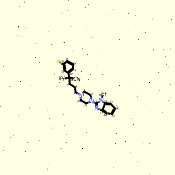 CCn1c(N2CCN(CCCC(C#N)(c3cccc(F)c3)C(C)C)CC2)nc2ccccc21